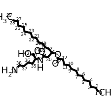 CCCCCCCCCCCCCC(=O)OC(CCCCCCCCCCCCC)CC(=O)NC(CCCCN)C(=O)O